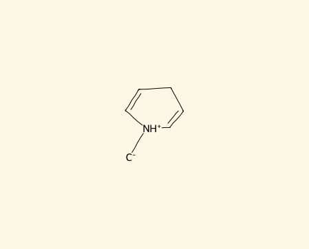 [CH2-][NH+]1C=CCC=C1